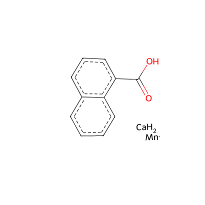 O=C(O)c1cccc2ccccc12.[CaH2].[Mn]